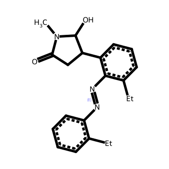 CCc1ccccc1/N=N/c1c(CC)cccc1C1CC(=O)N(C)C1O